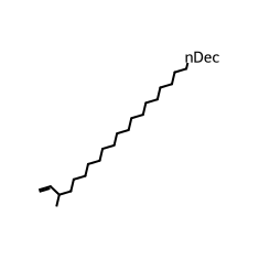 C=CC(C)CCCCCCCCCCCCCCCCCCCCCCCCCCC